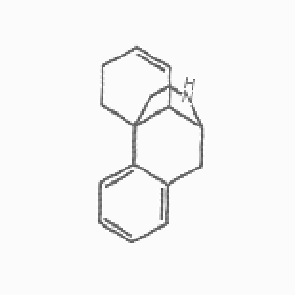 C1=CC2C3Cc4ccccc4C2(CC1)CCN3